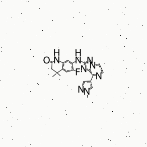 Cn1cc(-c2nccn3nc(Nc4cc5c(cc4F)C(C)(C)CC(=O)N5)nc23)cn1